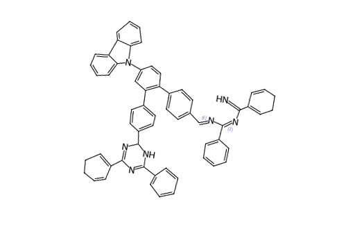 N=C(/N=C(\N=C\c1ccc(-c2ccc(-n3c4ccccc4c4ccccc43)cc2-c2ccc(C3N=C(C4=CCCC=C4)N=C(c4ccccc4)N3)cc2)cc1)c1ccccc1)C1=CCCC=C1